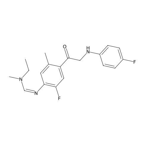 CCN(C)/C=N\c1cc(C)c(C(=O)CNc2ccc(F)cc2)cc1F